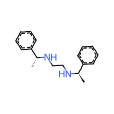 C[C@@H](NCCN[C@H](C)c1ccccc1)c1ccccc1